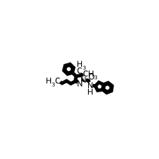 CCCCC1=NN(C(=O)NC2Cc3ccccc3C2)C(C)(C)C1c1ccccc1